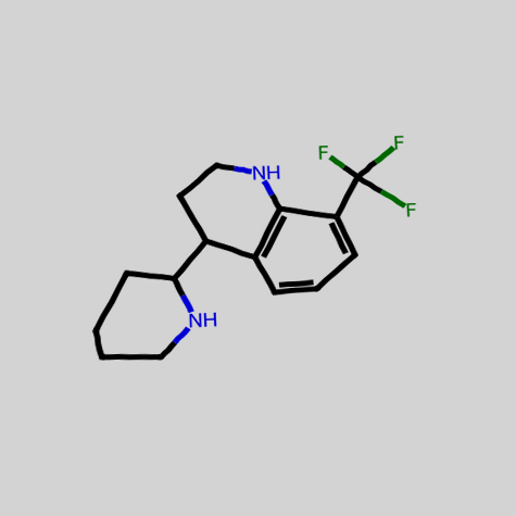 FC(F)(F)c1cccc2c1NCCC2C1CCCCN1